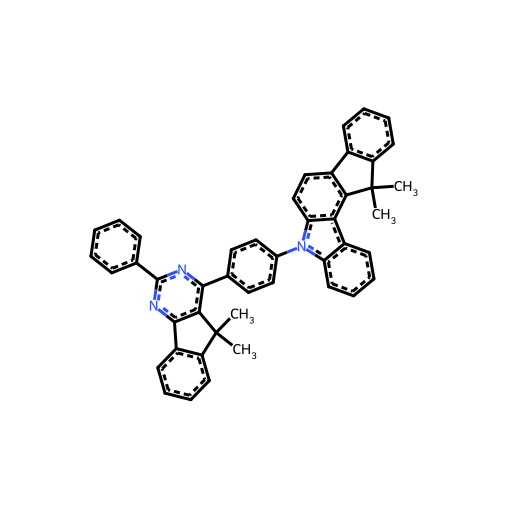 CC1(C)c2ccccc2-c2nc(-c3ccccc3)nc(-c3ccc(-n4c5ccccc5c5c6c(ccc54)-c4ccccc4C6(C)C)cc3)c21